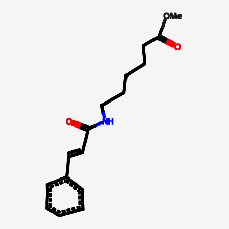 COC(=O)CCCCCNC(=O)C=Cc1ccccc1